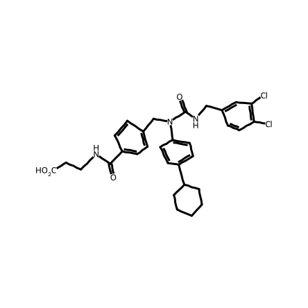 O=C(O)CCNC(=O)c1ccc(CN(C(=O)NCc2ccc(Cl)c(Cl)c2)c2ccc(C3CCCCC3)cc2)cc1